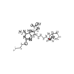 CCCCOc1nc(N)c2[nH]c(C#N)c(CCCCCN3C4CCC3CN(C)C4)c2n1.O=CO